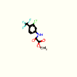 COC(=O)C(=O)Nc1ccc(C(F)(F)F)c(Cl)c1